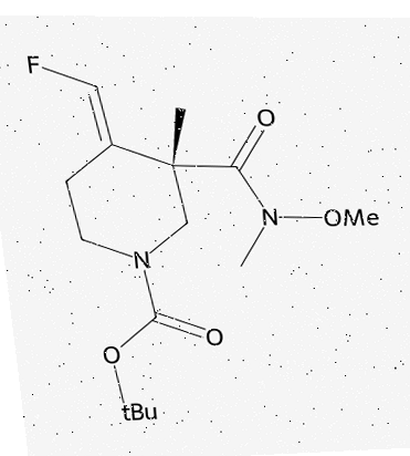 CON(C)C(=O)[C@]1(C)CN(C(=O)OC(C)(C)C)CC/C1=C\F